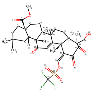 COC(=O)[C@]12CCC(C)(C)C[C@H]1[C@H]1C(=O)C=C3[C@@]4(C)/C(=C/OS(=O)(=O)C(F)(F)F)C(=O)C(=O)[C@](C)(CO)[C@@H]4CC[C@@]3(C)[C@]1(C)CC2